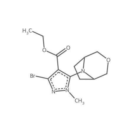 CCOC(=O)c1c(Br)nn(C)c1N1C2CCC1COC2